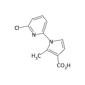 Cc1c(C(=O)O)ccn1-c1cccc(Cl)n1